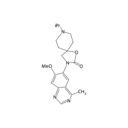 COc1cc2ncnc(C)c2cc1N1CC2(CCN(C(C)C)CC2)OC1=O